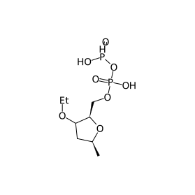 CCOC1C[C@H](C)O[C@@H]1COP(=O)(O)O[PH](=O)O